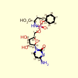 CC(C)C[C@H](NP(=O)(OC[C@H]1O[C@@H](n2ccc(N)nc2=O)[C@H](O)[C@@H]1O)Oc1ccccc1)C(=O)O